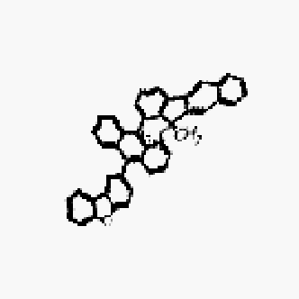 CC1(C)c2cc3ccccc3cc2-c2cccc(-c3c4ccccc4c(-c4ccc5oc6ccccc6c5c4)c4ccccc34)c21